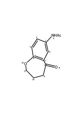 CC(=O)Nc1ccc2c(c1)C(=O)CCCO2